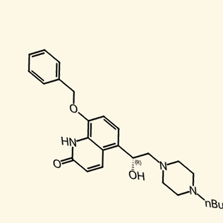 CCCCN1CCN(C[C@H](O)c2ccc(OCc3ccccc3)c3[nH]c(=O)ccc23)CC1